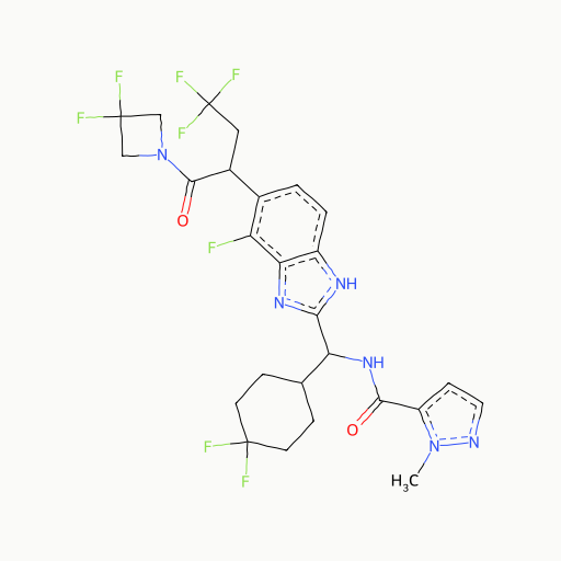 Cn1nccc1C(=O)NC(c1nc2c(F)c(C(CC(F)(F)F)C(=O)N3CC(F)(F)C3)ccc2[nH]1)C1CCC(F)(F)CC1